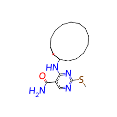 CSc1ncc(C(N)=O)c(NC23CCCCCCCCCCCC(C2)C3)n1